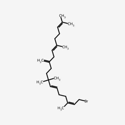 C=C(C/C=C(\C)CCC=C(C)C)CCC(C)(C)/C=C/CC/C(C)=C\CBr